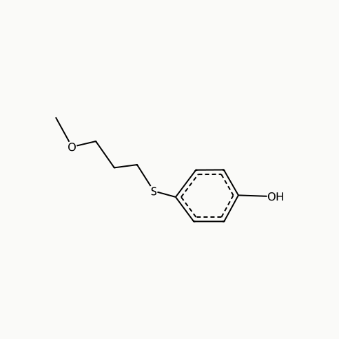 COCCCSc1ccc(O)cc1